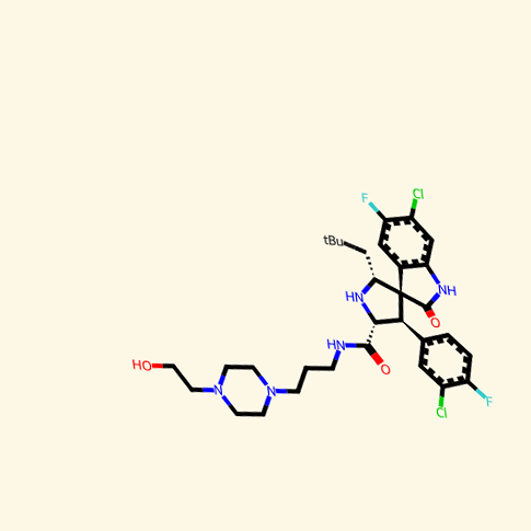 CC(C)(C)C[C@H]1N[C@@H](C(=O)NCCCN2CCN(CCO)CC2)[C@H](c2ccc(F)c(Cl)c2)[C@@]12C(=O)Nc1cc(Cl)c(F)cc12